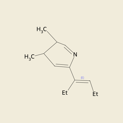 CC/C=C(\CC)C1=CC(C)C(C)C=N1